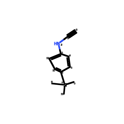 C#CNc1ccc([Si](C)(C)C)cc1